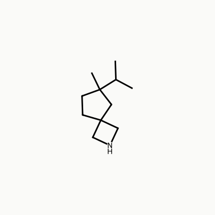 CC(C)C1(C)CCC2(CNC2)C1